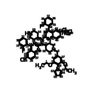 CCOc1cc(CN2CCC(N(c3nc(-c4ccccc4F)c4cc(Cl)ccc4n3)N(c3nc(-c4ccccc4F)c4cc(Cl)ccc4n3)C3CCNCC3)CC2)cc(OCC)c1-n1cccc1.Cl.Cl